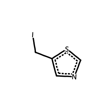 ICc1cncs1